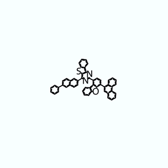 c1ccc(-c2ccc3cc(-c4nc(-c5ccc(-c6cc7ccccc7c7ccccc67)c6oc7ccccc7c56)nc5c4sc4ccccc45)ccc3c2)cc1